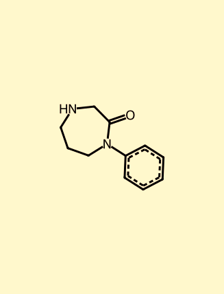 O=C1CNCCCN1c1ccccc1